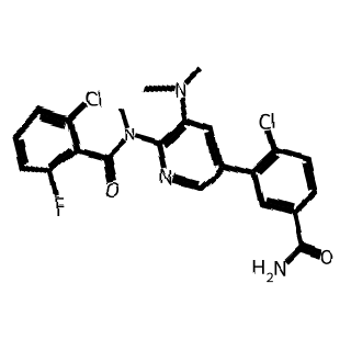 CN(C)c1cc(-c2cc(C(N)=O)ccc2Cl)cnc1N(C)C(=O)c1c(F)cccc1Cl